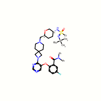 CCS(=O)(=N[Si](C)(C)C(C)(C)C)N[C@@H]1CC[C@@H](CN2CCC3(CC2)CN(c2ncncc2Oc2ccc(F)cc2C(=O)N(C(C)C)C(C)C)C3)OC1